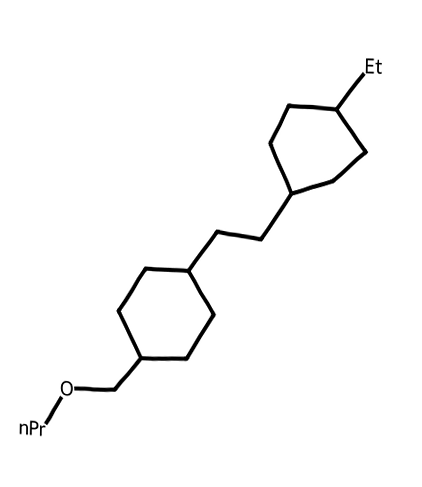 CCCOCC1CCC(CCC2CCC(CC)CC2)CC1